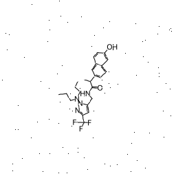 CCCN(CCC)n1nc(C(F)(F)F)cc1CNC(=O)C(C)c1ccc2cc(O)ccc2c1